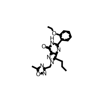 CCCc1c2nc(-c3ccccc3OCC)[nH]c(=O)c2nn1Cc1noc(C)n1